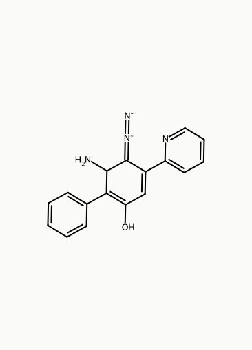 [N-]=[N+]=C1C(c2ccccn2)=CC(O)=C(c2ccccc2)C1N